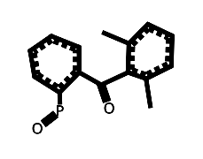 Cc1cccc(C)c1C(=O)c1ccccc1P=O